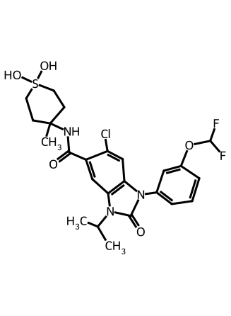 CC(C)n1c(=O)n(-c2cccc(OC(F)F)c2)c2cc(Cl)c(C(=O)NC3(C)CCS(O)(O)CC3)cc21